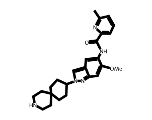 COc1cc2nn(C3CCC4(CCNCC4)CC3)cc2cc1NC(=O)c1cccc(C)n1